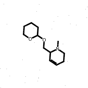 CN1CCC=CC1COC1CCCCO1